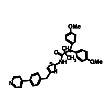 COc1ccc(C(c2ccc(OC)cc2)C(C)(C)C(=O)Nc2nc(Cc3ccc(-c4ccncc4)cc3)cs2)cc1